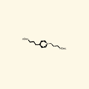 CCCCCCCCCCCCCc1cc[n+](CCCCCCCCCCCCC)cc1